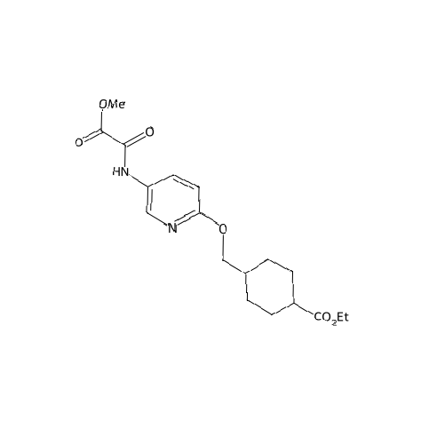 CCOC(=O)C1CCC(COc2ccc(NC(=O)C(=O)OC)cn2)CC1